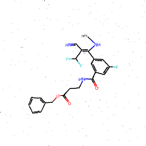 CCCN/C(=C(\C=N)C(F)F)c1cc(F)cc(C(=O)NCCC(=O)OCc2ccccc2)c1